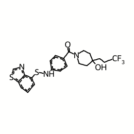 O=C(c1ccc(NSc2cccc3scnc23)cc1)N1CCC(O)(CCC(F)(F)F)CC1